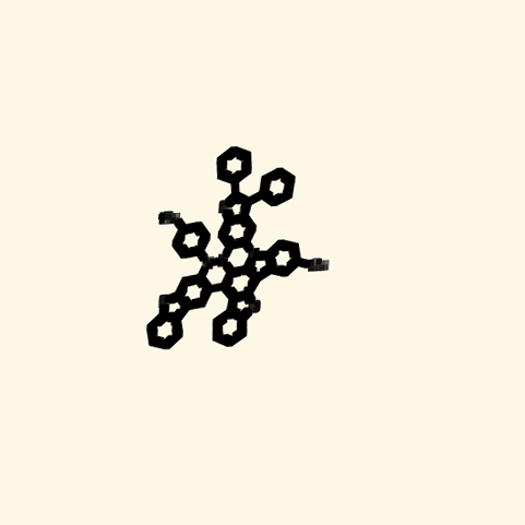 CC(C)(C)c1ccc(N2B3c4cc5sc(-c6ccccc6)c(-c6ccccc6)c5cc4-n4c5ccc(C(C)(C)C)cc5c5c6oc7ccccc7c6c(c3c54)-c3cc4c(cc32)sc2ccccc24)cc1